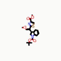 COC=C(c1nc(C(=O)OC)cs1)c1cn(C(=O)OC(C)(C)C)c2ccccc12